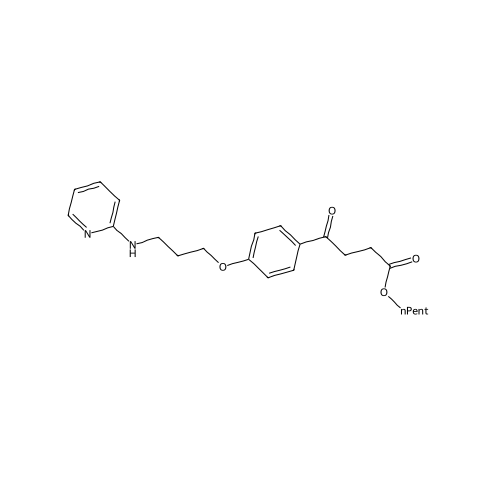 CCCCCOC(=O)CCC(=O)c1ccc(OCCCNc2ccccn2)cc1